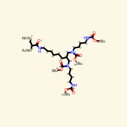 CC(=O)NCC(NC(C)=O)C(=O)NCCCCCCC(CN(CCCCNC(=O)OC(C)(C)C)C(=O)OC(C)(C)C)CN(CCCCNC(=O)OC(C)(C)C)C(=O)OC(C)(C)C